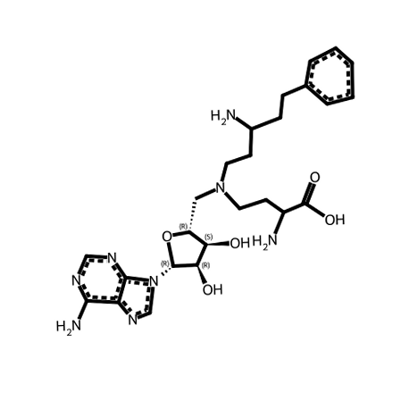 Nc1ncnc2c1ncn2[C@@H]1O[C@H](CN(CCC(N)CCc2ccccc2)CCC(N)C(=O)O)[C@@H](O)[C@H]1O